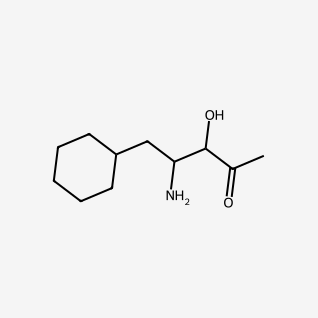 CC(=O)C(O)C(N)CC1CCCCC1